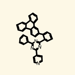 c1ccc(-c2nc(-c3ccncc3)nc(-c3ccccc3-c3ccc4c5ccccc5c5ccccc5c4c3)n2)cc1